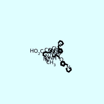 Cn1nc(CC(C(=O)O)=C(Cc2nc(NCCCOc3cccc(CN4CCCCC4)c3)n(C)n2)C(=O)O)nc1NCCCOc1cccc(CN2CCCCC2)c1